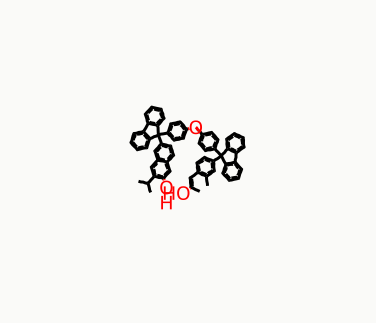 C/C(O)=C\c1ccc(C2(c3ccc(Oc4ccc(C5(c6ccc7cc(O)c(C(C)C)cc7c6)c6ccccc6-c6ccccc65)cc4)cc3)c3ccccc3-c3ccccc32)cc1C